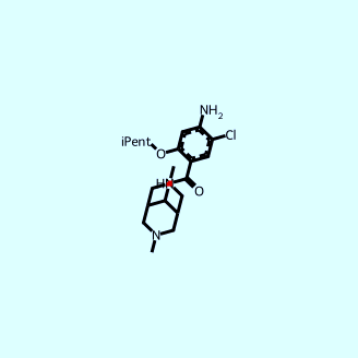 CCCC(C)Oc1cc(N)c(Cl)cc1C(=O)NC1C2CN(C)CC1CN(C)C2